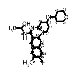 Cc1cc2cc(C(=N)NC(C)O)c(N3CCC(NC4CCOCC4)CC3)nc2cc1F